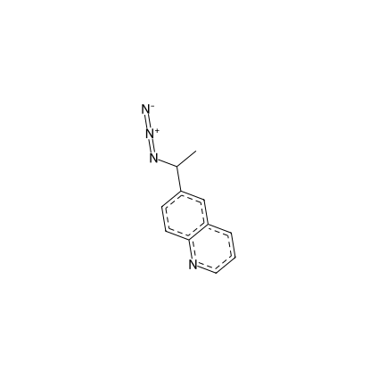 CC(N=[N+]=[N-])c1ccc2ncccc2c1